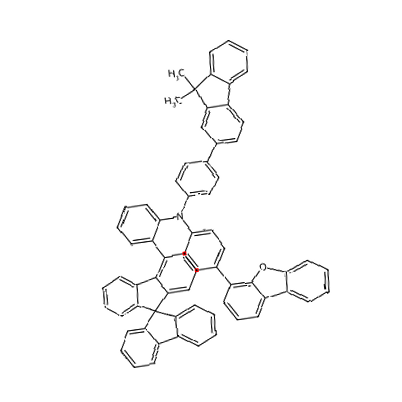 CC1(C)c2ccccc2-c2ccc(-c3ccc(N(c4ccc(-c5cccc6c5oc5ccccc56)cc4)c4ccccc4-c4cccc5c4-c4ccccc4C54c5ccccc5-c5ccccc54)cc3)cc21